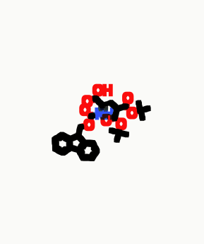 CC(C)(C)OC(=O)C(C[C@@H](NC(=O)OCC1c2ccccc2-c2ccccc21)C(=O)O)C(=O)OC(C)(C)C